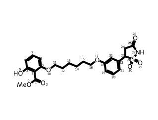 COC(=O)c1c(O)cccc1OCCCCCCOc1cccc(C2CC(=O)NS2(=O)=O)c1